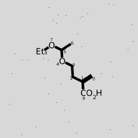 C=C(CCOC(C)OCC)C(=O)O